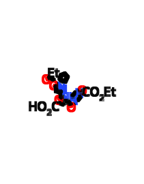 CCOC(=O)ON1CCN(C(=O)[C@H](CCC(=O)O)NC(=O)c2cc(OCC(=O)CC)n(-c3ccccc3)n2)CC1